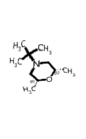 C[C@@H]1CN(C(C)(C)C)C[C@H](C)O1